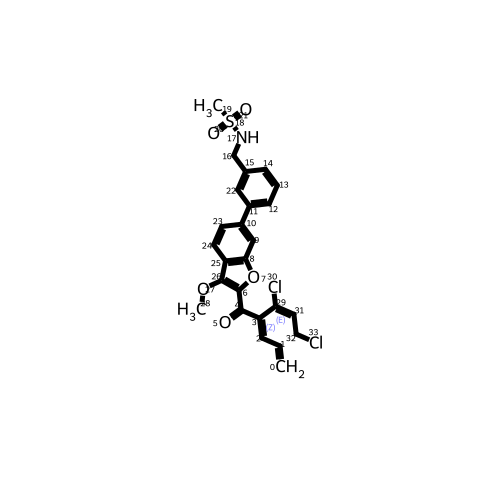 C=C/C=C(C(=O)c1oc2cc(-c3cccc(CNS(C)(=O)=O)c3)ccc2c1OC)\C(Cl)=C/CCl